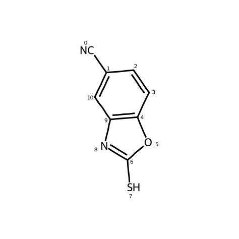 N#Cc1ccc2oc(S)nc2c1